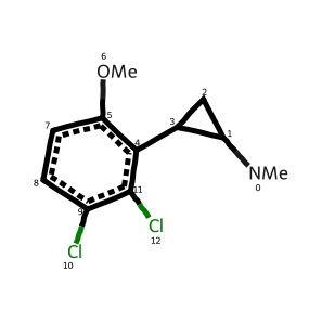 CNC1CC1c1c(OC)ccc(Cl)c1Cl